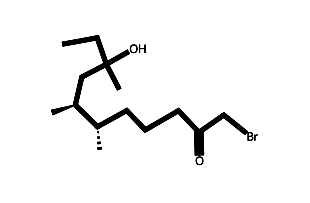 CCC(C)(O)C[C@H](C)[C@@H](C)CCCC(=O)CBr